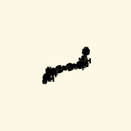 Cn1nc(-n2ccc(=O)[nH]c2=O)c2cc(F)c(N3CCN(CCN4CCC(COc5cc(F)c6c(=O)[nH]c(CSC7CCOCC7)nc6c5)CC4)CC3)cc21